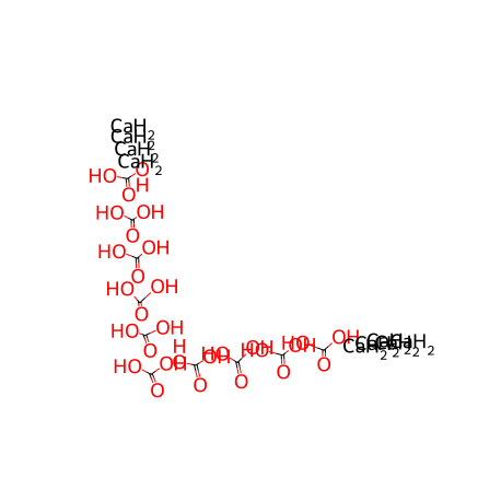 O=C(O)O.O=C(O)O.O=C(O)O.O=C(O)O.O=C(O)O.O=C(O)O.O=C(O)O.O=C(O)O.O=C(O)O.O=C(O)O.[CaH2].[CaH2].[CaH2].[CaH2].[CaH2].[CaH2].[CaH2].[CaH2].[CaH2]